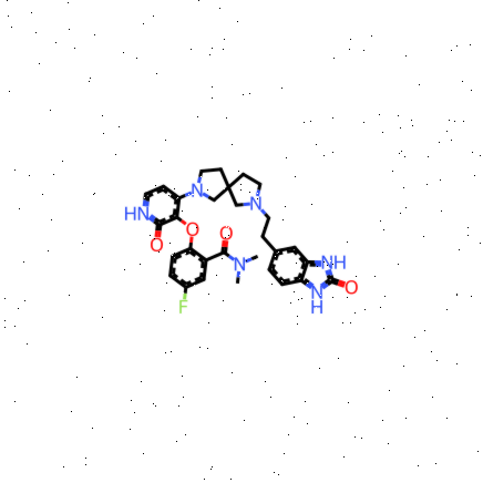 CN(C)C(=O)c1cc(F)ccc1Oc1c(N2CCC3(CCN(CCc4ccc5[nH]c(=O)[nH]c5c4)C3)C2)cc[nH]c1=O